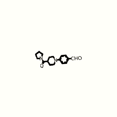 O=Cc1ccc(N2CCC(C(=O)N3CCCC3)CC2)cc1